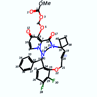 COC(=O)OCOc1c2n(ccc1=O)N1CN(C2=O)C2(/C=C/COc3c(ccc(F)c3F)[C@H]1c1ccccc1)CCC2